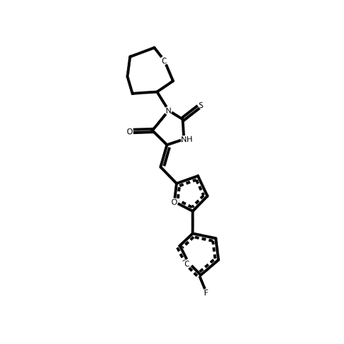 O=C1/C(=C/c2ccc(-c3ccc(F)cc3)o2)NC(=S)N1C1CCCCCC1